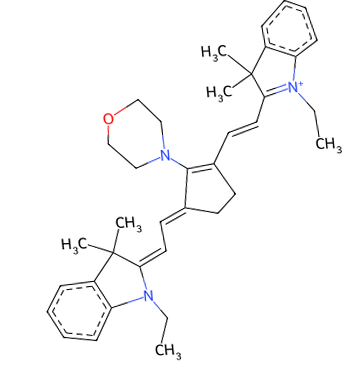 CCN1/C(=C/C=C2\CCC(/C=C/C3=[N+](CC)c4ccccc4C3(C)C)=C2N2CCOCC2)C(C)(C)c2ccccc21